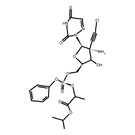 CC(C)OC(=O)C(C)O[P@](=O)(OC[C@H]1O[C@@H](n2ncc(=O)[nH]c2=O)[C@@](N)(C#CCl)C1O)Oc1ccccc1